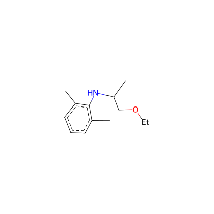 CCOCC(C)Nc1c(C)cccc1C